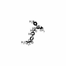 CCCC(C)(C)C(=O)N1CCN(C2CCC(NC(=O)Nc3cc(C4(C)CC4)nn3-c3ccc(C)cc3)CN2)CC1